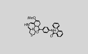 COC1=CCC(C(=O)c2ccc(NC(=O)c3ccccc3-c3ccccc3)cc2)C2C1=CNC=C1CSCCN12